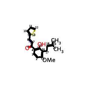 COc1ccc(C(=O)/C=C/c2cccs2)c(O)c1CC=C(C)C